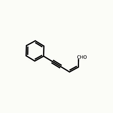 O=C/C=C\C#Cc1ccccc1